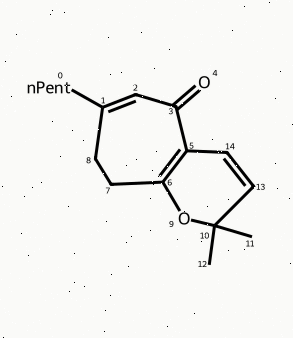 CCCCCC1=CC(=O)C2=C(CC1)OC(C)(C)C=C2